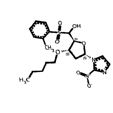 CCCCCO[C@H]1C[C@@H](n2ccnc2[N+](=O)[O-])O[C@@H]1C(O)S(=O)(=O)c1ccccc1C